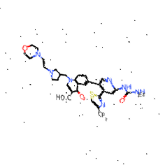 CCNC(=O)Nc1cc(-c2nc(C(F)(F)F)cs2)c(-c2ccc3c(c2)c(=O)c(C(=O)O)cn3CC2CCN(CCN3CCOCC3)C2)cn1